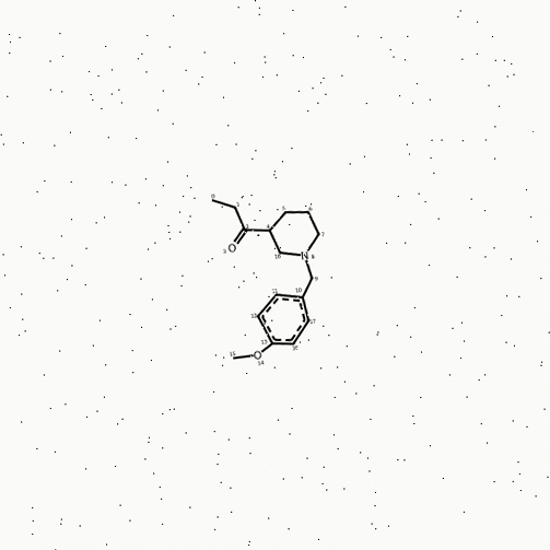 CCC(=O)C1CCCN(Cc2ccc(OC)cc2)C1